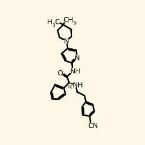 CC1(C)CCN(c2ccc(NC(=O)[C@@H](NCCc3ccc(C#N)cc3)c3ccccc3)nc2)CC1